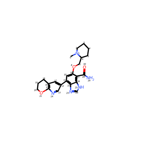 CN1CCCCC1COc1cc(-c2cnc3c(c2)CCCO3)c2nc[nH]c2c1C(N)=O